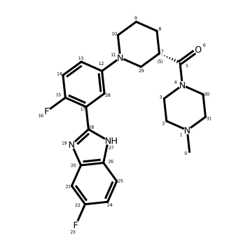 CN1CCN(C(=O)[C@H]2CCCN(c3ccc(F)c(-c4nc5cc(F)ccc5[nH]4)c3)C2)CC1